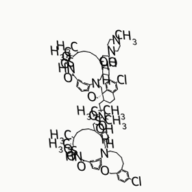 C[C@@H]1[C@@H](C)CCC[C@@](O)(CS(=O)(=O)N(C)C(C)(C)CC2CCc3cc(Cl)ccc3[C@@]23COc2ccc4cc2N(C[C@@H]2CC[C@H]2[C@@](O)(CC(=O)N2CCN(C)CC2)CCC[C@H](C)[C@@H](C)S(=O)(=O)NC4=O)C3)[C@@H]2CC[C@H]2CN2CCCCc3cc(Cl)ccc3COc3ccc(cc32)C(=O)NS1(=O)=O